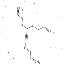 C=CCOC#CC(OCC=C)OCC=C